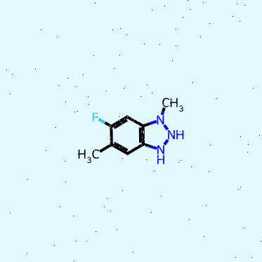 Cc1cc2c(cc1F)N(C)NN2